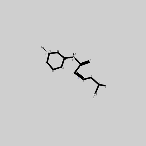 C=C(/C=C\CC(C)Cl)NC1CCC[C@H](C)C1